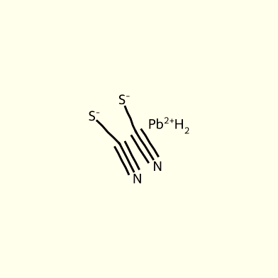 N#C[S-].N#C[S-].[PbH2+2]